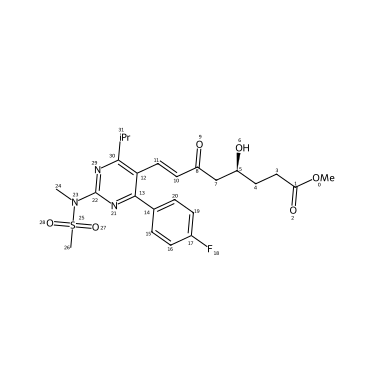 COC(=O)CC[C@H](O)CC(=O)/C=C/c1c(-c2ccc(F)cc2)nc(N(C)S(C)(=O)=O)nc1C(C)C